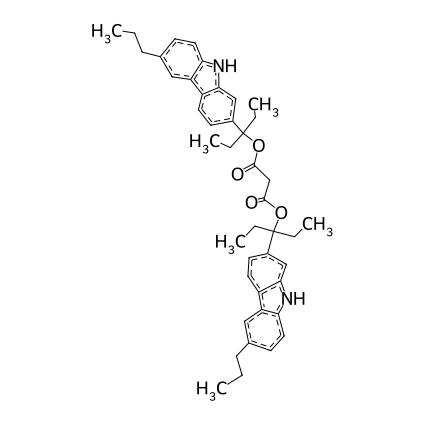 CCCc1ccc2[nH]c3cc(C(CC)(CC)OC(=O)CC(=O)OC(CC)(CC)c4ccc5c(c4)[nH]c4ccc(CCC)cc45)ccc3c2c1